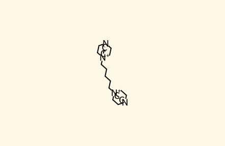 C(CC[N+]12CCN(CC1)CC2)CC[N+]12CCN(CC1)CC2